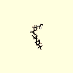 CCC(=O)NC1CC(C(=O)N2CC3C(C2)C3c2ccc(C(C)(C)C)cc2)C1